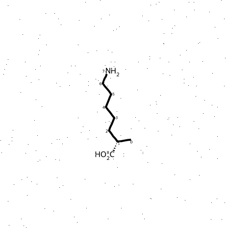 C[C@@H](CCCCCN)C(=O)O